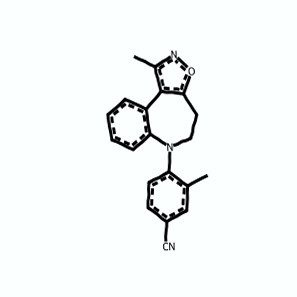 Cc1cc(C#N)ccc1N1CCc2onc(C)c2-c2ccccc21